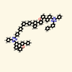 c1ccc(-c2cccc(-c3nc(-c4ccccc4)nc(-c4cccc5c(-c6cccc7oc8c(-c9ccc(-c%10ccc(-c%11cccc(-c%12ccc(-c%13ccc(-c%14nc(-c%15ccccc%15)nc(-c%15cc(-c%16ccc(-c%17ccccc%17)c%17oc%18ccccc%18c%16%17)c%16ccccc%16c%15)n%14)cc%13)cc%12)c%11)cc%10)c%10ccccc9%10)cccc8c67)cccc45)n3)c2)cc1